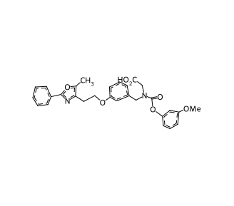 COc1cccc(OC(=O)N(CC(=O)O)Cc2cccc(OCCc3nc(-c4ccccc4)oc3C)c2)c1